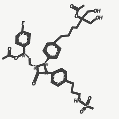 CC(=O)O[C@@H](CC[C@H]1C(=O)N(c2ccc(CCCNS(C)(=O)=O)cc2)[C@@H]1c1ccc(CCCCC(CO)(CO)OC(C)=O)cc1)c1ccc(F)cc1